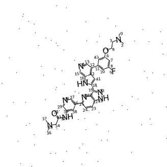 CN(C)CCOc1cc(F)cc(-c2cncc3[nH]c(-c4n[nH]c5ccc(-c6cncc(NC(=O)CN(C)C)c6)nc45)cc23)c1